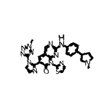 CN1CCC(c2ccc(Nc3ncc4cc(-c5nccn5-c5nnn(C)n5)c(=O)n(-c5nccs5)c4n3)cc2)C1